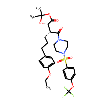 CCOc1ccc(CCC[C@@H](C(=O)N2CCN(S(=O)(=O)c3ccc(OC(F)(F)F)cc3)CC2)[C@@H]2OC(C)(C)OC2=O)cc1